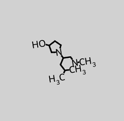 C[N]CC(CC(C)C)N1CCC(O)C1